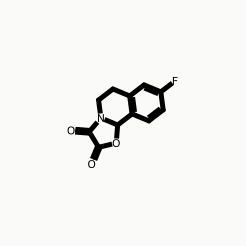 O=C1OC2c3ccc(F)cc3CCN2C1=O